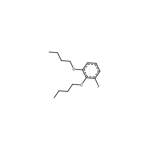 CCCCOc1cc[c]c(F)c1OCCCC